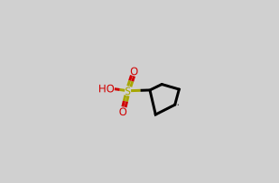 O=S(=O)(O)C1C[CH]CC1